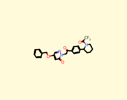 O=C(Cn1ncc(OCc2ccccc2)cc1=O)c1ccc(C2CCCCN2C(=O)C(F)(F)F)cc1